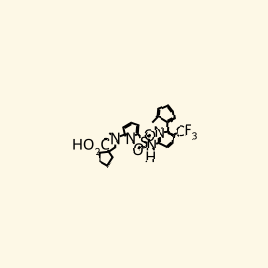 Cc1ccccc1-c1nc(NS(=O)(=O)c2cccc(N(C)CC3(C(=O)O)CCCC3)n2)ccc1C(F)(F)F